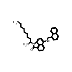 NCCCCCCCC(N)N1C(=O)c2cccc3c(NCc4cccc5ccccc45)ccc1c23